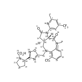 Cc1cc(C(F)(F)F)cc(N2C(=O)C[C@@H]3CN(Cc4nc([C@H]5CCCN5C(=O)O)no4)c4c(Cl)cccc4N(C)C(=O)[C@H]32)n1